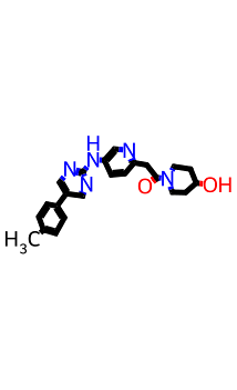 Cc1ccc(-c2cnc(Nc3ccc(CC(=O)N4CCC(O)CC4)nc3)nc2)cc1